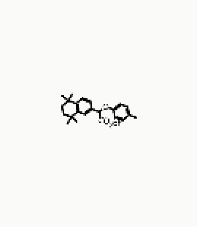 CCOC(=O)C(Oc1ccc(C)cc1)c1ccc2c(c1)C(C)(C)CCC2(C)C